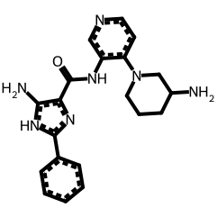 Nc1[nH]c(-c2ccccc2)nc1C(=O)Nc1cnccc1N1CCCC(N)C1